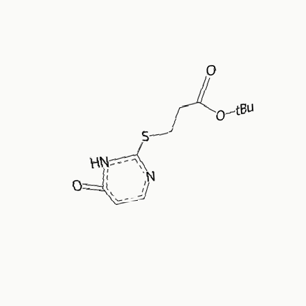 CC(C)(C)OC(=O)CCSc1nccc(=O)[nH]1